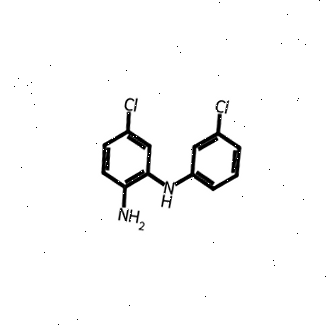 Nc1ccc(Cl)cc1Nc1cccc(Cl)c1